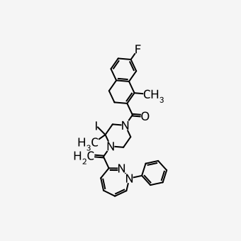 C=C(C1=NN(c2ccccc2)C=CC=C1)N1CCN(C(=O)C2=C(C)c3cc(F)ccc3CC2)CC1(C)I